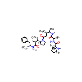 CCC(C)C(C(CC(=O)N1CCC[C@H]1C(OC)C(C)C(=O)N(C(Cc1ccccc1)C(=O)O)C(C)(C)C)OC)N(C)C(=O)C(NC(=O)[C@@H]1[C@H]2CC[C@H](C2)N1C)C(C)C